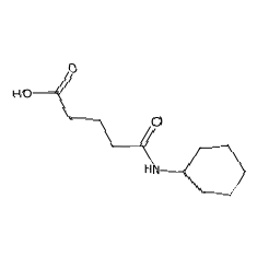 O=C(O)CCCC(=O)NC1CCCCC1